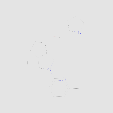 FC(F)(F)c1cccc(N2C[C@H]3CC[C@H](OC[C@@H]4CCCN4)[C@H]3C2)n1